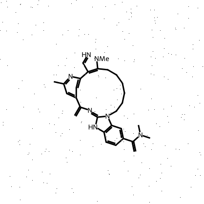 C=C1/N=C2\Nc3ccc(C(=C)N(C)C)cc3N2CCCCCC/C(NC)=C(/C=N)c2cc1cc(C)n2